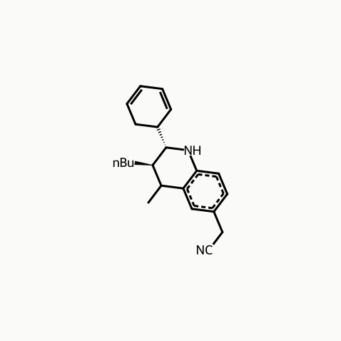 CCCC[C@@H]1C(C)c2cc(CC#N)ccc2N[C@H]1C1C=CC=CC1